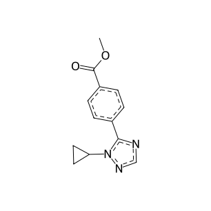 COC(=O)c1ccc(-c2ncnn2C2CC2)cc1